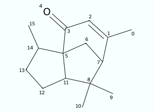 CC1=CC(=O)C23CC1C(C)(C)C2CCC3C